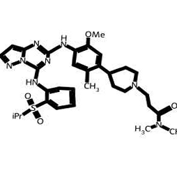 COc1cc(C2CCN(CCC(=O)N(C)C)CC2)c(C)cc1Nc1nc(Nc2ccccc2S(=O)(=O)C(C)C)n2nccc2n1